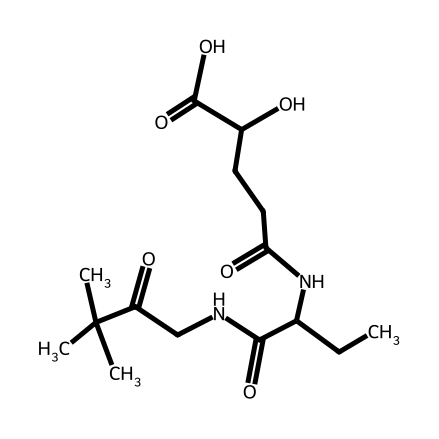 CCC(NC(=O)CCC(O)C(=O)O)C(=O)NCC(=O)C(C)(C)C